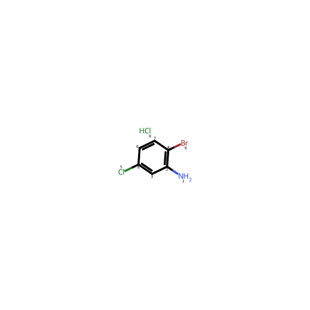 Cl.Nc1cc(Cl)ccc1Br